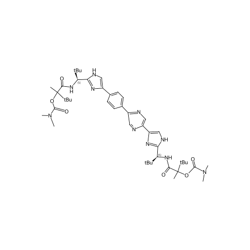 CN(C)C(=O)OC(C)(C(=O)N[C@H](c1nc(-c2ccc(-c3cnc(-c4c[nH]c([C@@H](NC(=O)C(C)(OC(=O)N(C)C)C(C)(C)C)C(C)(C)C)n4)cn3)cc2)c[nH]1)C(C)(C)C)C(C)(C)C